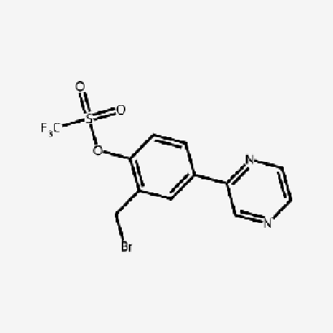 O=S(=O)(Oc1ccc(-c2cnccn2)cc1CBr)C(F)(F)F